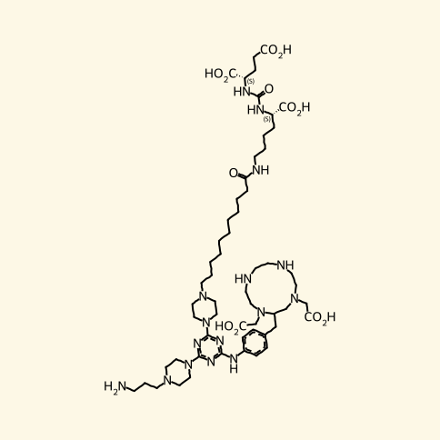 NCCCN1CCN(c2nc(Nc3ccc(CC4CN(CC(=O)O)CCNCCNCCN4CC(=O)O)cc3)nc(N3CCN(CCCCCCCCCCC(=O)NCCCC[C@H](NC(=O)N[C@@H](CCC(=O)O)C(=O)O)C(=O)O)CC3)n2)CC1